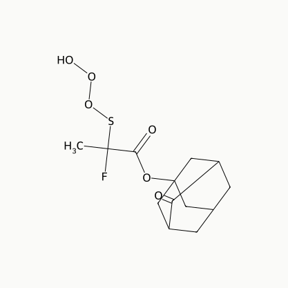 CC(F)(SOOO)C(=O)OC12CC3CC(C1)C(=O)C(C3)C2